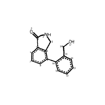 O=C1NCc2c1cccc2-c1ccccc1CO